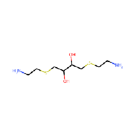 NCCSCC(O)C(O)CSCCN